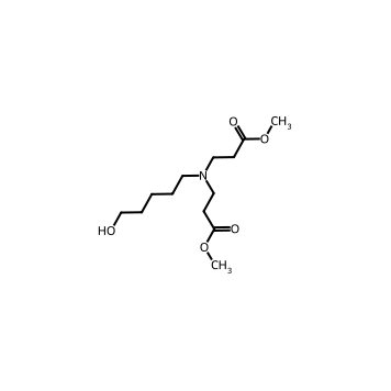 COC(=O)CCN(CCCCCO)CCC(=O)OC